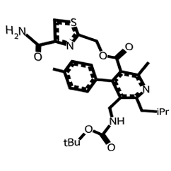 Cc1ccc(-c2c(CNC(=O)OC(C)(C)C)c(CC(C)C)nc(C)c2C(=O)OCc2nc(C(N)=O)cs2)cc1